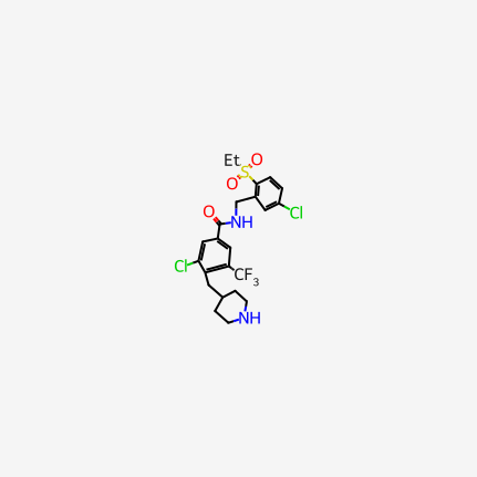 CCS(=O)(=O)c1ccc(Cl)cc1CNC(=O)c1cc(Cl)c(CC2CCNCC2)c(C(F)(F)F)c1